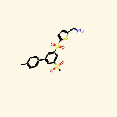 Cc1ccc(-c2cc(S(C)(=O)=O)cc(S(=O)(=O)c3ccc(CN)s3)c2)cc1